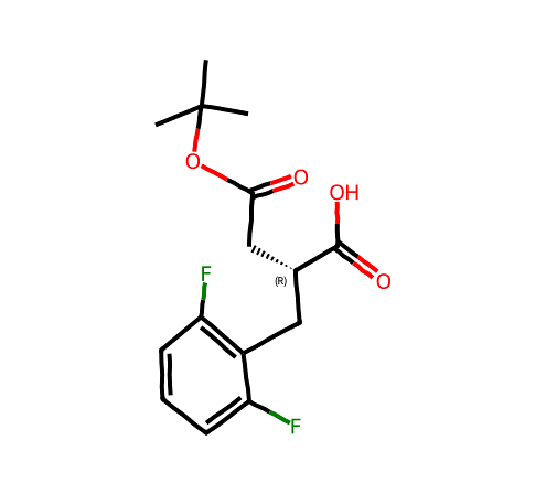 CC(C)(C)OC(=O)C[C@@H](Cc1c(F)cccc1F)C(=O)O